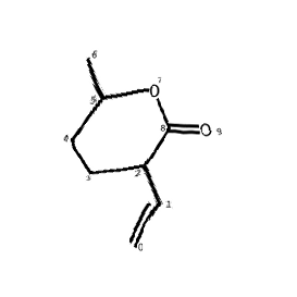 C=CC1CCC(C)OC1=O